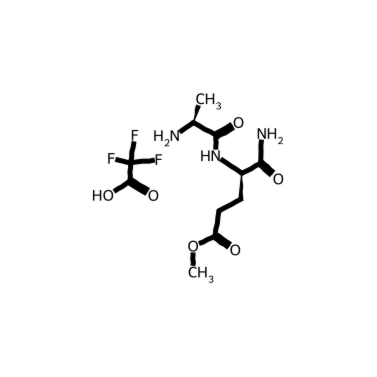 COC(=O)CC[C@@H](NC(=O)[C@H](C)N)C(N)=O.O=C(O)C(F)(F)F